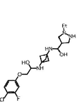 CCN1CC(C(O)NC23CC(NC(O)COc4ccc(Cl)c(F)c4)(C2)C3)CN1